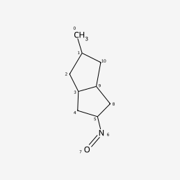 CC1CC2CC(N=O)CC2C1